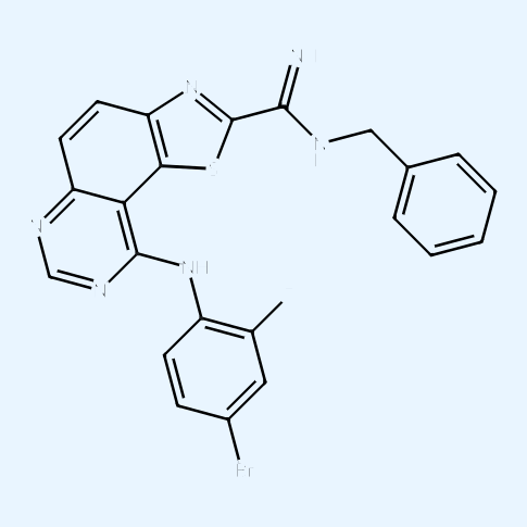 N=C(NCc1ccccc1)c1nc2ccc3ncnc(Nc4ccc(Br)cc4F)c3c2s1